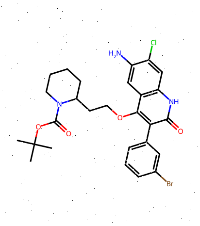 CC(C)(C)OC(=O)N1CCCCC1CCOc1c(-c2cccc(Br)c2)c(=O)[nH]c2cc(Cl)c(N)cc12